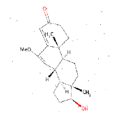 COC1=C[C@H]2[C@@H]3CC[C@H](O)[C@@]3(C)CC[C@@H]2[C@@]2(C)CCC(=O)C=C12